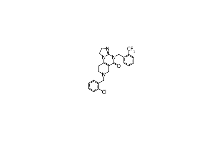 O=C1C2=C(CCN(Cc3ccccc3Cl)C2)N2CCN=C2N1Cc1ccccc1C(F)(F)F